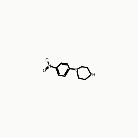 O=[N+]([O-])c1ccc(N2CCPCC2)cc1